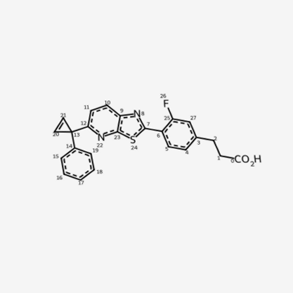 O=C(O)CCc1ccc(-c2nc3ccc(C4(c5ccccc5)C=C4)nc3s2)c(F)c1